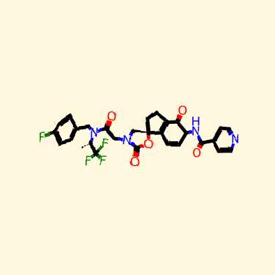 C[C@H](N(Cc1ccc(F)cc1)C(=O)CN1C[C@]2(CCC3=C2C=CC(NC(=O)c2ccncc2)C3=O)OC1=O)C(F)(F)F